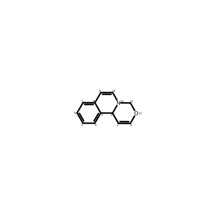 C1=CC2c3ccccc3C=CN2CO1